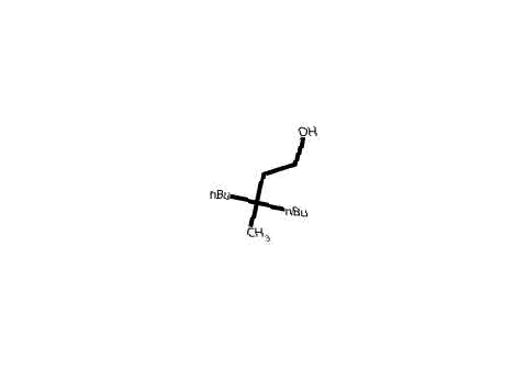 CCCCC(C)(CCO)CCCC